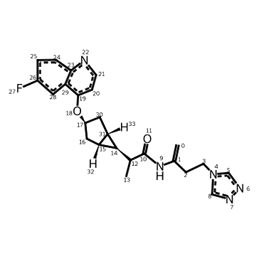 C=C(CCn1cnnc1)NC(=O)C(C)[C@H]1[C@@H]2C[C@@H](Oc3ccnc4ccc(F)cc34)C[C@@H]21